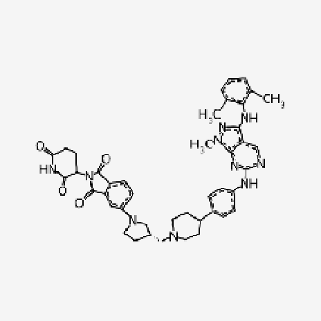 Cc1cccc(C)c1Nc1nn(C)c2nc(Nc3ccc(C4CCN(C[C@@H]5CCN(c6ccc7c(c6)C(=O)N(C6CCC(=O)NC6=O)C7=O)C5)CC4)cc3)ncc12